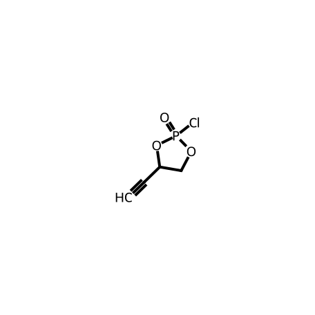 C#CC1COP(=O)(Cl)O1